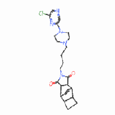 O=C1C2C3C=CC(C4CCC34)C2C(=O)N1CCCCN1CCN(c2cncc(Cl)n2)CC1